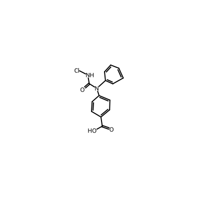 O=C(O)c1ccc(N(C(=O)NCl)c2ccccc2)cc1